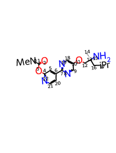 CNC(=O)Oc1cc(-c2ncc(OC[C@@](C)(N)CC(C)C)cn2)ccn1